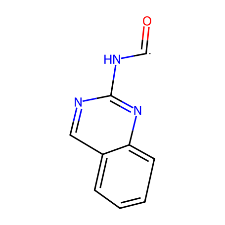 O=[C]Nc1ncc2ccccc2n1